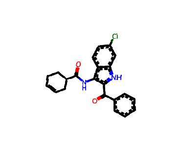 O=C(c1ccccc1)c1[nH]c2cc(Cl)ccc2c1NC(=O)C1CC=CCC1